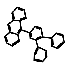 c1ccc(-c2ccc(-c3c4ccccc4cc4ccccc34)cc2-c2ccccc2)cc1